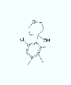 Cc1cc(Cl)c(C2(O)CCOCC2)c(C)c1C